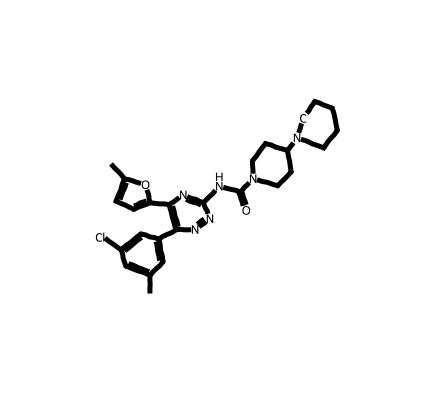 Cc1cc(Cl)cc(-c2nnc(NC(=O)N3CCC(N4CCCCC4)CC3)nc2-c2ccc(C)o2)c1